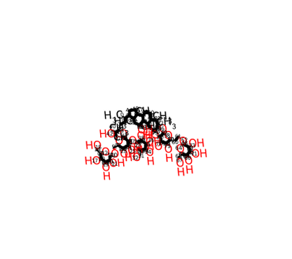 C[C@H](CC[C@@H](O[C@@H]1O[C@H](CO[C@H]2O[C@H](CO)[C@@H](O)[C@H](O)[C@H]2O)[C@@H](O)[C@H](O)[C@H]1O[C@@H]1O[C@H](CO)[C@@H](O)[C@H](O)[C@H]1O)C(C)(C)O)C1CC[C@@]2(C)C3CC=C4C(CC[C@H](O[C@@H]5O[C@H](CCO[C@@H]6O[C@H](CO)[C@@H](O)[C@H](O)[C@H]6O)[C@@H](O)[C@H](O)[C@H]5O)C4(C)C)[C@]3(C)[C@H](O)C[C@]12C